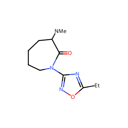 CCc1nc(N2CCCCC(NC)C2=O)no1